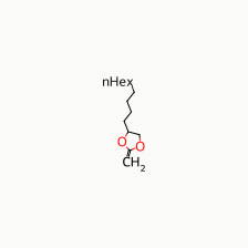 C=C1OCC(CCCCCCCCCC)O1